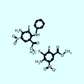 COC(=O)c1cc([N+](=O)[O-])c(N)c(F)c1F.COC(=O)c1cc([N+](=O)[O-])c(N)c(F)c1Nc1ccccc1